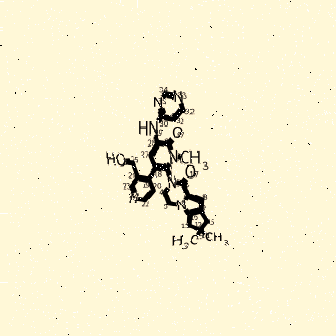 Cn1c(N2CCn3c(cc4c3CC(C)(C)C4)C2=O)c(-c2ccncc2CO)cc(Nc2ccncn2)c1=O